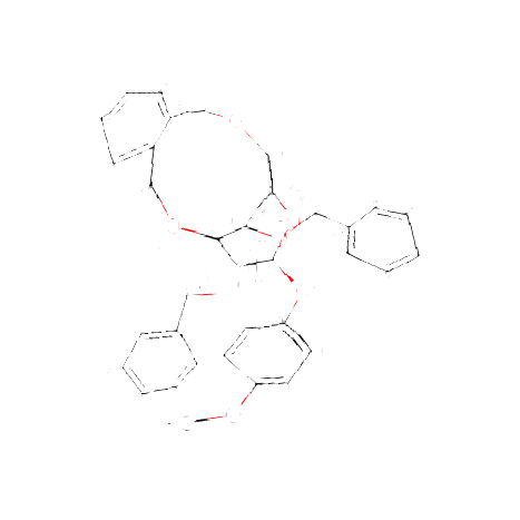 COc1ccc(O[C@@H]2O[C@@H]3COCc4ccccc4CO[C@H]([C@H]2OCc2ccccc2)[C@@H]3OCc2ccccc2)cc1